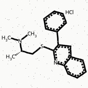 C[C@@H](CSc1nc2ccccc2cc1-c1ccccc1)N(C)C.Cl